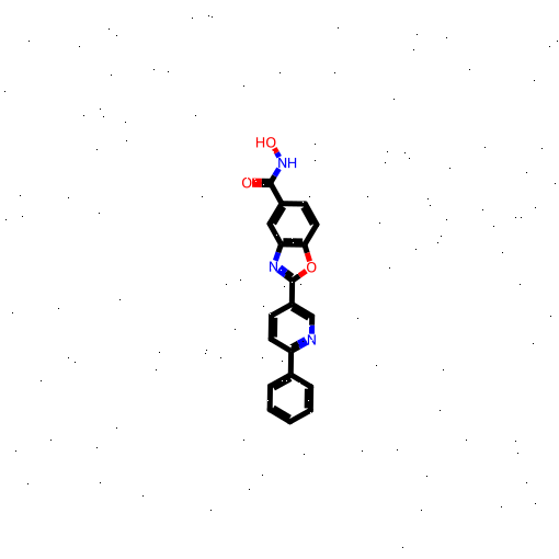 O=C(NO)c1ccc2oc(-c3ccc(-c4ccccc4)nc3)nc2c1